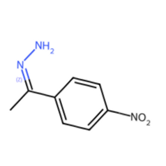 C/C(=N/N)c1ccc([N+](=O)[O-])cc1